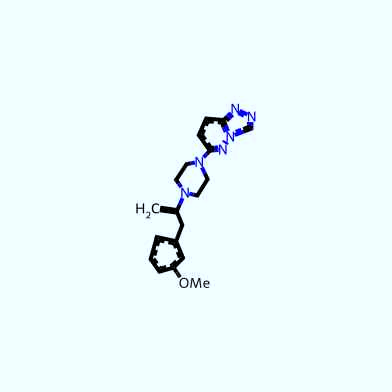 C=C(Cc1cccc(OC)c1)N1CCN(c2ccc3nncn3n2)CC1